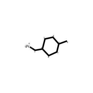 C[C](C)CC1CCC(C)CC1